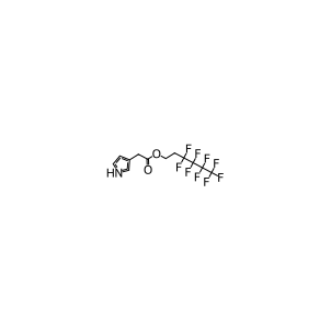 O=C(Cc1cc[nH]c1)OCCC(F)(F)C(F)(F)C(F)(F)C(F)(F)F